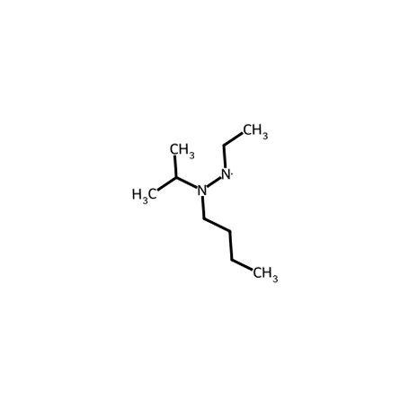 CCCCN([N]CC)C(C)C